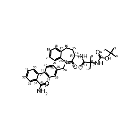 CC(C)(C)OC(=O)NC(C)(C)C(=O)N[C@@H]1CCc2ccccc2N(Cc2ccc(-c3ccccc3C(N)=O)cc2)C1=O